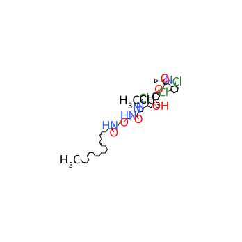 CC/C=C\C/C=C\C/C=C\C/C=C\C/C=C\C/C=C\CCC(=O)NCCOCCNC(=O)c1cc(C2CC(O)(c3ccc(OCc4c(-c5c(Cl)cccc5Cl)noc4C4CC4)cc3Cl)C2)n(C(C)C)n1